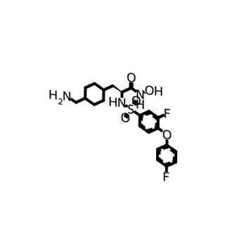 NCC1CCC(C[C@H](NS(=O)(=O)c2ccc(Oc3ccc(F)cc3)c(F)c2)C(=O)NO)CC1